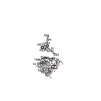 CC[C@H](C)C(=O)O[C@H]1CCC=C2C=C[C@H](C)[C@H](CC[C@@H]3C[C@@H](O)CC(=O)O3)[C@H]21.CN[C@@H]1[C@H](O[C@H]2[C@H](O[C@H]3[C@H](O)[C@@H](O)[C@H](NC(=N)N)[C@@H](O)[C@@H]3NC(=N)N)O[C@@H](C)[C@]2(O)C=O)O[C@@H](CO)[C@H](O)[C@H]1O.O=C1c2c(O)ccc(O)c2C(=O)c2c(NCCNCCO)ccc(NCCNCCO)c21